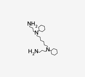 NCCCN(CCCCCCN(CCCN)C1CCCCC1)C1CCCCC1